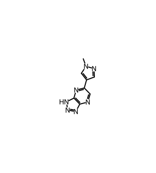 Cn1cc(-c2cnc3nn[nH]c3n2)cn1